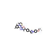 Cc1cc(C)c(N2/C(=N/C(=O)NC(C)C(C)c3ccc(-c4ccn(-c5ccc(OC(F)(F)F)cc5)n4)cc3)SCCC2C)c(C)c1